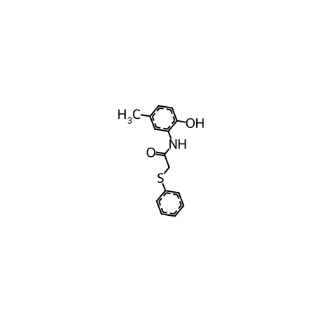 Cc1ccc(O)c(NC(=O)CSc2ccccc2)c1